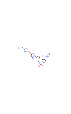 CCNC(=O)c1ccc2oc(=O)n(Cc3cccc(-c4ncc(OCC5CCN(C)CC5)cn4)c3)c2c1